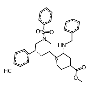 COC(=O)C1CCN(CC[C@@H](CN(C)S(=O)(=O)c2ccccc2)c2ccccc2)[C@H](NCc2ccccc2)C1.Cl